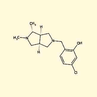 C[C@@H]1[C@H]2CN(Cc3ccc(Cl)cc3O)C[C@H]2CN1C